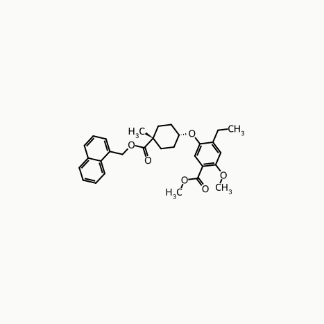 CCc1cc(OC)c(C(=O)OC)cc1O[C@H]1CC[C@@](C)(C(=O)OCc2cccc3ccccc23)CC1